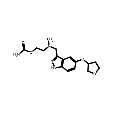 CN(CCOC(N)=O)Cc1n[nH]c2ccc(OC3CCOC3)cc12